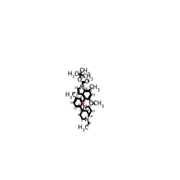 CCN1CCC2(c3ccc(C)cc3)CC1CCN2Cc1c(OC)cc(C)c2c1ccn2C(=O)OC(C)(C)C